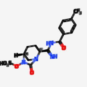 N=C(NC(=O)c1ccc(C(F)(F)F)cc1)[C@@H]1CC[C@@H]2CN1C(=O)N2OS(=O)(=O)O